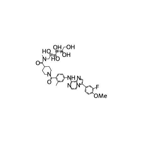 COc1ccc(-c2cnc3c(Nc4ccc(C(=O)N5CCC(C(=O)N(C)C[C@H](O)[C@@H](O)[C@H](O)[C@H](O)CO)CC5)c(C)c4)nccn23)cc1F